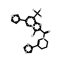 O=C(c1nc2c(C(F)(F)F)cc(-c3ccoc3)cn2c1Cl)N1C=C(c2cscn2)CCC1